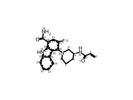 C=CC(=O)N[C@H]1CCCN(c2c(F)cc(C(N)=O)c3[nH]c4ccccc4c23)C1